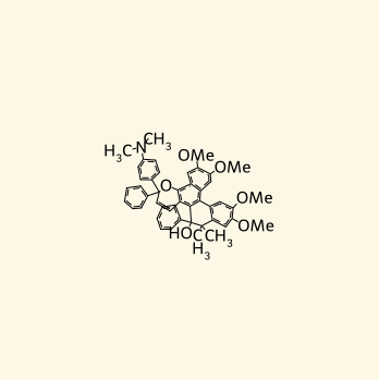 COc1cc2c(cc1OC)C(C)(C)C(O)(c1ccccc1)c1c3c(c4cc(OC)c(OC)cc4c1-2)OC(c1ccccc1)(c1ccc(N(C)C)cc1)C=C3